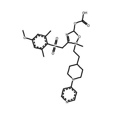 COc1cc(C)c(S(=O)(=O)CC2=NC(OC(=O)O)O[N+]2(C)CCC2CCN(c3ccncc3)CC2)c(C)c1